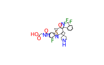 O=C(O)CNC(=O)c1cc(F)c2nc(C3=C(c4c(-c5ccccc5C(F)(F)F)noc4C4CC4)CC34CCNCC4)sc2c1